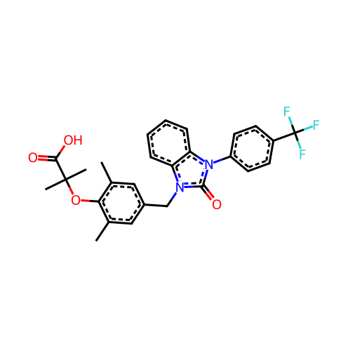 Cc1cc(Cn2c(=O)n(-c3ccc(C(F)(F)F)cc3)c3ccccc32)cc(C)c1OC(C)(C)C(=O)O